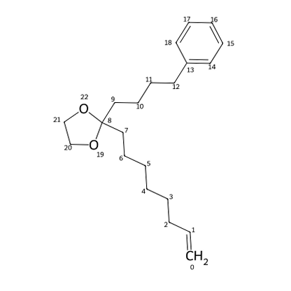 C=CCCCCCCC1(CCCCc2ccccc2)OCCO1